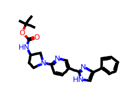 CC(C)(C)OC(=O)NC1CCN(c2ccc(-c3nc(-c4ccccc4)c[nH]3)cn2)C1